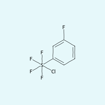 Fc1cccc(S(F)(F)(F)(F)Cl)c1